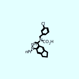 CCCN(CCC)c1cc2c(cc1C(C)N(Cc1cccc(Cl)c1)C(=O)O)CCC2